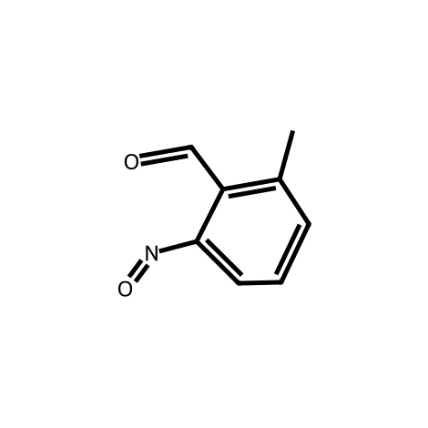 Cc1cccc(N=O)c1C=O